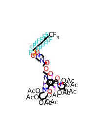 CC(=O)OCC(OC(C)=O)C(OC(C)=O)C(OC(C)=O)C(CN(C)C(=O)c1c(I)c([N]C(=O)COCC(=O)N2CCN(S(=O)(=O)C(F)(F)C(F)(F)C(F)(F)C(F)(F)C(F)(F)C(F)(F)C(F)(F)C(F)(F)F)CC2)c(I)c(C(=O)N(C)CC(OC(C)=O)C(OC(C)=O)C(OC(C)=O)C(COC(C)=O)OC(C)=O)c1I)OC(C)=O